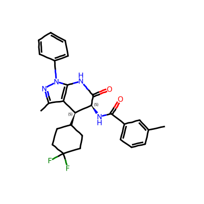 Cc1cccc(C(=O)N[C@@H]2C(=O)Nc3c(c(C)nn3-c3ccccc3)[C@@H]2C2CCC(F)(F)CC2)c1